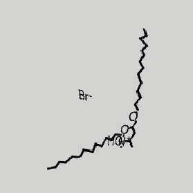 CCCCCCCCCCCCCCOCC(CC(C)[N+](C)(C)O)OCCCCCCCCCCCCCC.[Br-]